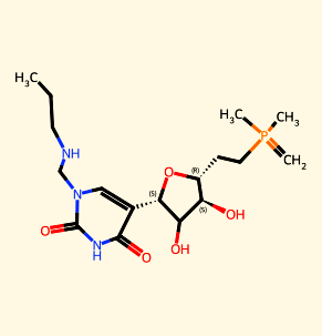 C=P(C)(C)CC[C@H]1O[C@@H](c2cn(CNCCC)c(=O)[nH]c2=O)C(O)[C@@H]1O